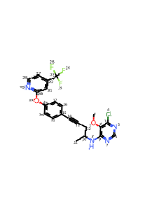 COc1c(Cl)ncnc1NC(C)CC#Cc1ccc(Oc2cc(C(F)(F)F)ccn2)cc1